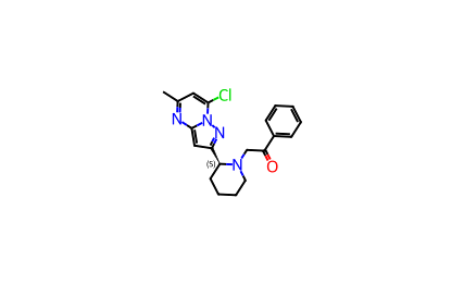 Cc1cc(Cl)n2nc([C@@H]3CCCCN3CC(=O)c3ccccc3)cc2n1